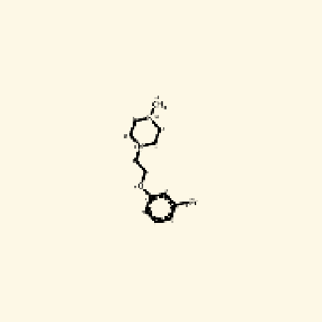 CC(C)c1cccc(OCCN2CCN(C)CC2)c1